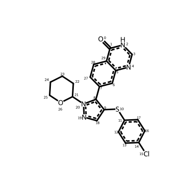 O=c1[nH]cnc2cc(-c3c(Sc4ccc(Cl)cc4)cnn3C3CCCCO3)ccc12